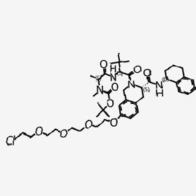 C[C@@H](C(=O)N[C@H](C(=O)N1Cc2cc(OCCOCCOCCOCCCl)ccc2C[C@H]1C(=O)N[C@@H]1CCCc2ccccc21)C(C)(C)C)N(C)C(=O)OC(C)(C)C